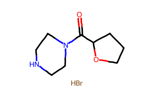 Br.O=C(C1CCCO1)N1CCNCC1